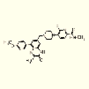 CNC(=O)c1ccc(N2CCN(Cc3cc(-c4ccc(OC)cc4)c4nc(C)c(=O)[nH]c4c3)CC2)c(F)n1